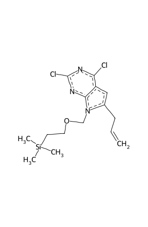 C=CCc1cc2c(Cl)nc(Cl)nc2n1COCC[Si](C)(C)C